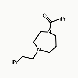 CC(C)CCN1CCCN(C(=O)C(C)C)CC1